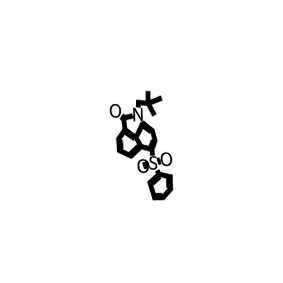 CC(C)(C)CN1C(=O)c2cccc3c(S(=O)(=O)c4ccccc4)ccc1c23